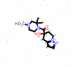 CC1(C)CN(C(=O)O)CCN1C(=O)C1(O)CCn2nccc2C1